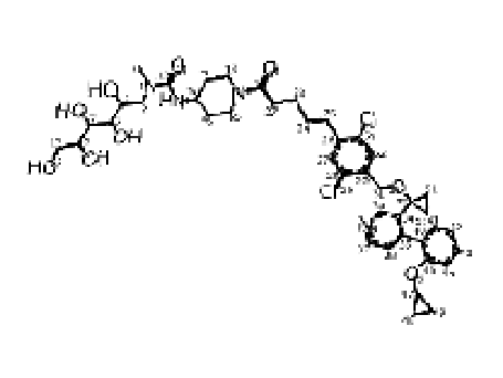 CN(CC(O)C(O)C(O)C(O)CO)C(=O)NC1CCN(C(=O)CCCCc2cc(Cl)c(COC3(c4cnccc4-c4ccccc4OC4CC4)CC3)cc2Cl)CC1